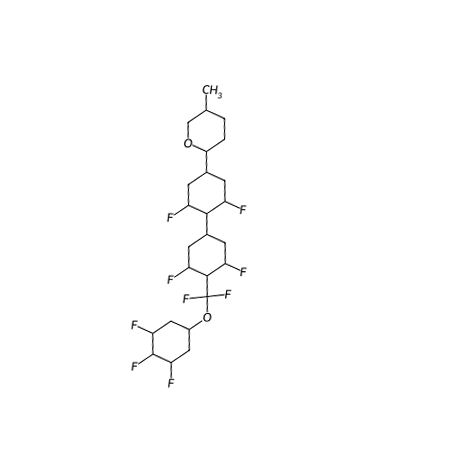 CC1CCC(C2CC(F)C(C3CC(F)C(C(F)(F)OC4CC(F)C(F)C(F)C4)C(F)C3)C(F)C2)OC1